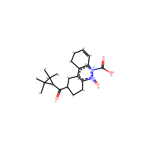 CC1(C)C(C(=O)C2CCc3c(c4c(n(C(=O)O)[n+]3=O)C=CCC4)C2)C1(C)C